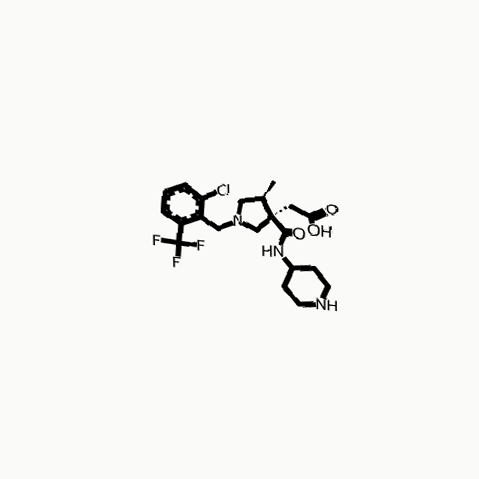 C[C@@H]1CN(Cc2c(Cl)cccc2C(F)(F)F)C[C@]1(CC(=O)O)C(=O)NC1CCNCC1